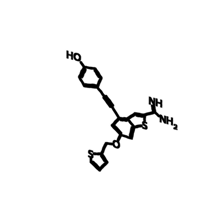 N=C(N)c1cc2c(C#Cc3ccc(O)cc3)cc(OCc3cccs3)cc2s1